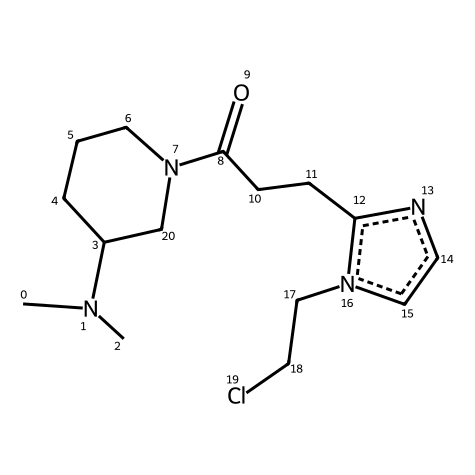 CN(C)C1CCCN(C(=O)CCc2nccn2CCCl)C1